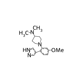 COc1ccc(-c2cn[nH]c2)c(N2CCC(N(C)C)CC2)c1